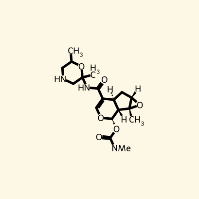 CNC(=O)O[C@@H]1OC=C(C(=O)NC2(C)CNCC(C)O2)[C@H]2C[C@@H]3O[C@]3(C)[C@H]12